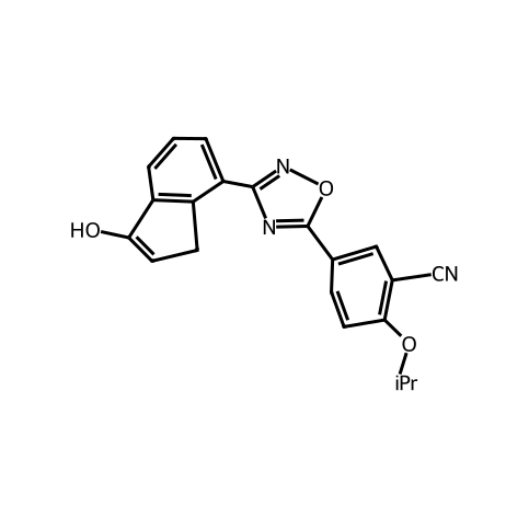 CC(C)Oc1ccc(-c2nc(-c3cccc4c3CC=C4O)no2)cc1C#N